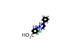 O=C(O)c1ccc(Nc2nccc(-c3ccccc3)n2)c(Cl)c1